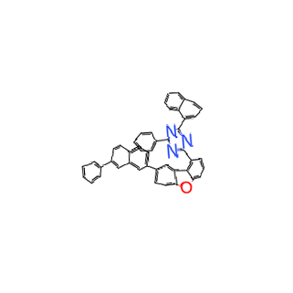 c1ccc(-c2ccc3ccc(-c4ccc5oc6cccc(-c7nc(-c8ccccc8)nc(-c8cccc9ccccc89)n7)c6c5c4)cc3c2)cc1